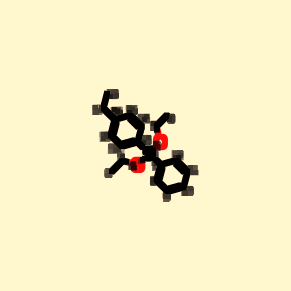 CCO[Si](OCC)(c1ccccc1)c1ccc(CC)cc1